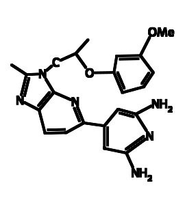 COc1cccc(OC(C)Cn2c(C)nc3ccc(-c4cc(N)nc(N)c4)nc32)c1